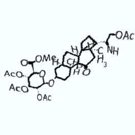 COC(=O)[C@H]1O[C@@H](O[C@@H]2CC[C@@]3(C)[C@H](CC[C@H]4[C@@H]5CC[C@H](C(=N)COC(C)=O)[C@@]5(C)CC(=O)[C@@H]43)C2)[C@H](OC(C)=O)[C@@H](OC(C)=O)[C@@H]1OC(C)=O